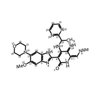 CN/C=C1/NC(=O)C(c2nc3cc(OC)c(N4CCOCC4)cc3[nH]2)=C(NC(C)c2ncccn2)C1=N